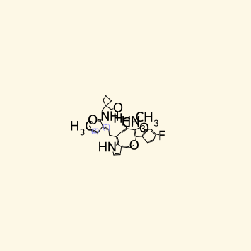 C/C=C\C(=C/Cc1cc(C)c(C(=O)NC)c(-c2ccc(F)cc2)occ2cc[nH]c12)C(=O)NCC1(CO)CCC1